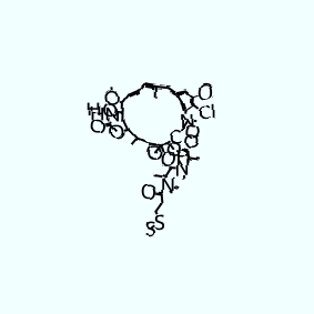 COc1cc2cc(c1Cl)N(C)C(=O)CC(OC(=O)C(C)N(C)C(O)C(C)N(C)C(=O)CCSSC)C1(C)OC1C(C)C1CC(O)(NC(=O)O1)C(OC)/C=C/C=C(\C)C2